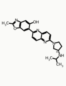 Cc1nc2cc(O)c(-c3ccc4nc(N5CC[C@@H](NC(C)C)C5)ccc4n3)cc2o1